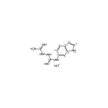 Cl.N=C(N)NNC(=N)Nc1ccc2cn[nH]c2c1